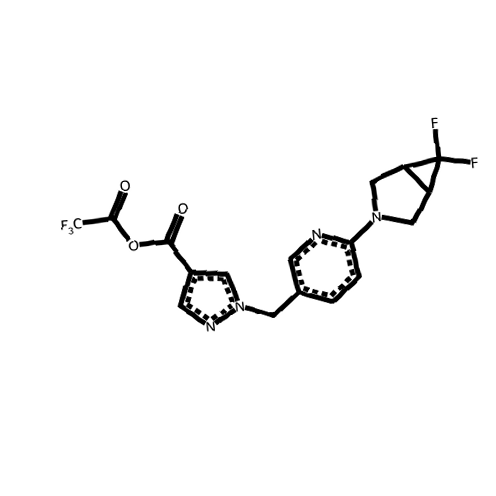 O=C(OC(=O)C(F)(F)F)c1cnn(Cc2ccc(N3CC4C(C3)C4(F)F)nc2)c1